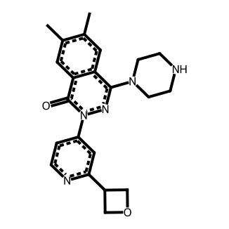 Cc1cc2c(N3CCNCC3)nn(-c3ccnc(C4COC4)c3)c(=O)c2cc1C